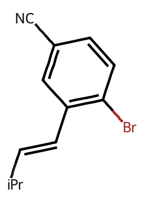 CC(C)C=Cc1cc(C#N)ccc1Br